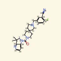 CC1(C)CN(C(=O)N2CCC3(CCN(Cc4ccc(F)c(C#N)c4)CC3)CC2)c2cccnc21